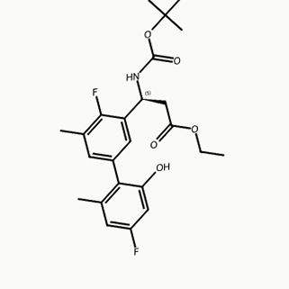 CCOC(=O)C[C@H](NC(=O)OC(C)(C)C)c1cc(-c2c(C)cc(F)cc2O)cc(C)c1F